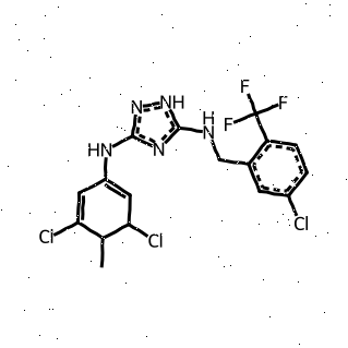 CC1C(Cl)=CC(Nc2n[nH]c(NCc3cc(Cl)ccc3C(F)(F)F)n2)=CC1Cl